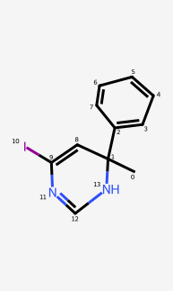 CC1(c2ccccc2)C=C(I)N=CN1